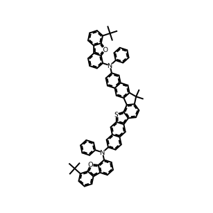 CC(C)(C)c1cccc2c1oc1c(N(c3ccccc3)c3ccc4cc5c(cc4c3)C(C)(C)c3ccc4c(sc6cc7cc(N(c8ccccc8)c8cccc9c8oc8c(C(C)(C)C)cccc89)ccc7cc64)c3-5)cccc12